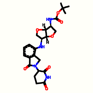 CC(C)(C)OC(=O)N[C@H]1CO[C@H]2[C@@H]1OC[C@@H]2Nc1cccc2c1CN(C1CCC(=O)NC1=O)C2=O